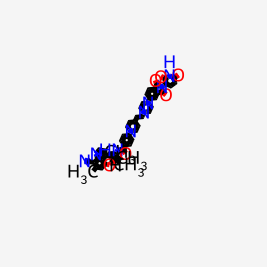 Cc1cc2c3c(ccnc3c1C#N)C1(C)C(NC(=O)c3ccc(N4CCC(CCN5CCN(c6ccc7c(c6)C(=O)N(C6CCC(=O)NC6=O)C7=O)CC5)CC4)cc3)C(C)(C)[C@@H]1O2